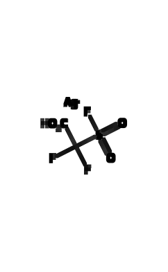 O=C(O)C(F)(F)S(=O)(=O)F.[Ag]